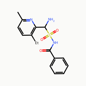 CCc1ccc(C)nc1C(N)S(=O)(=O)NC(=O)c1ccccc1